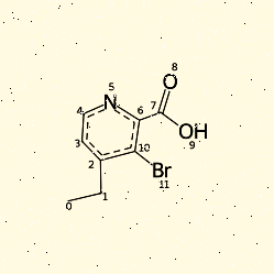 CCc1ccnc(C(=O)O)c1Br